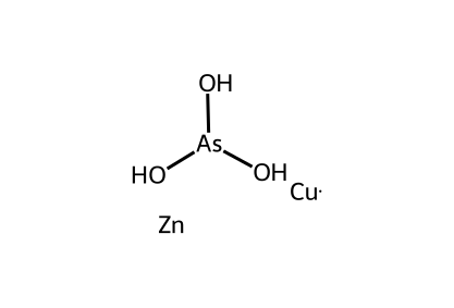 O[As](O)O.[Cu].[Zn]